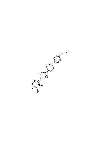 CCCc1ccc(C2CCC(C3CCC(c4ccc(C)c(F)c4F)CO3)CC2)cc1